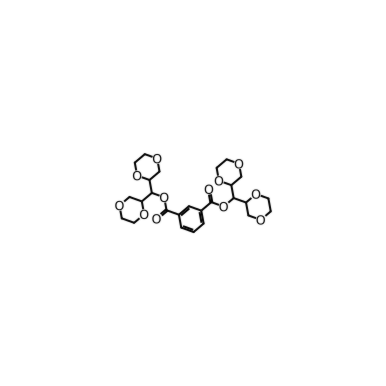 O=C(OC(C1COCCO1)C1COCCO1)c1cccc(C(=O)OC(C2COCCO2)C2COCCO2)c1